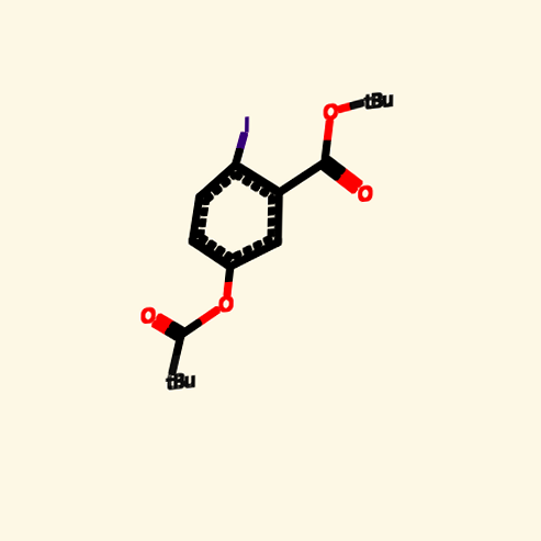 CC(C)(C)OC(=O)c1cc(OC(=O)C(C)(C)C)ccc1I